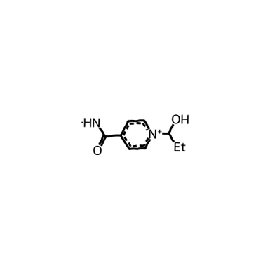 CCC(O)[n+]1ccc(C([NH])=O)cc1